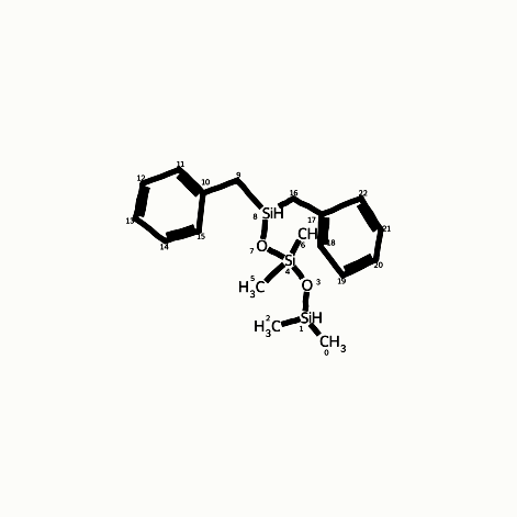 C[SiH](C)O[Si](C)(C)O[SiH](Cc1ccccc1)Cc1ccccc1